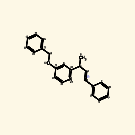 CC(/C=C/c1ccccc1)c1cc(OCc2ccccc2)ccn1